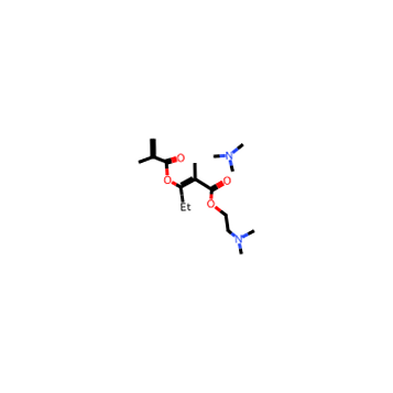 C=C(C)C(=O)OC(CC)=C(C)C(=O)OCCN(C)C.CN(C)C